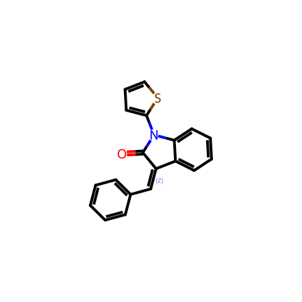 O=C1/C(=C\c2ccccc2)c2ccccc2N1c1cccs1